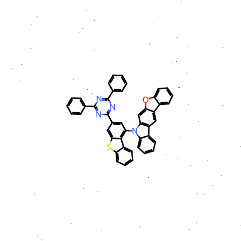 c1ccc(-c2nc(-c3ccccc3)nc(-c3cc(-n4c5ccccc5c5cc6c(cc54)oc4ccccc46)c4c(c3)sc3ccccc34)n2)cc1